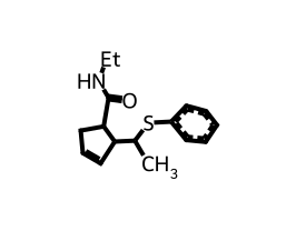 CCNC(=O)C1CC=CC1C(C)Sc1ccccc1